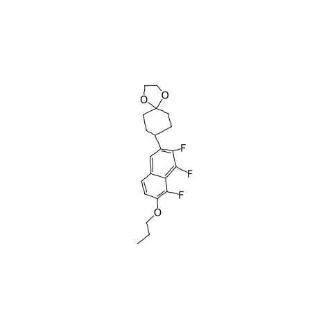 CCCOc1ccc2cc(C3CCC4(CC3)OCCO4)c(F)c(F)c2c1F